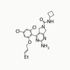 CCC=CCOc1cc(Cl)cc(Cl)c1-c1nc(N)nc2c1CN(C(=O)NC1CCC1)C2